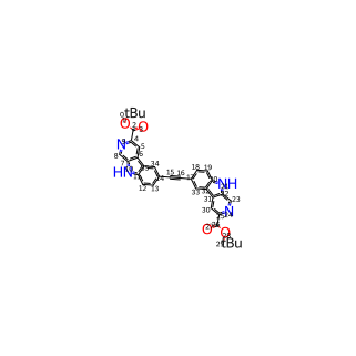 CC(C)(C)OC(=O)c1cc2c(cn1)[nH]c1ccc(C#Cc3ccc4[nH]c5cnc(C(=O)OC(C)(C)C)cc5c4c3)cc12